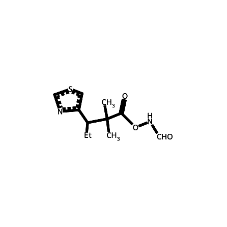 CCC(c1cscn1)C(C)(C)C(=O)ONC=O